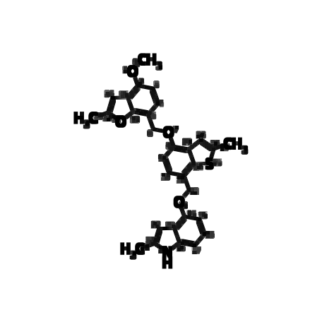 COc1ccc(COc2ccc(COc3cccc4[nH]c(C)cc34)c3sc(C)cc23)c2oc(C)cc12